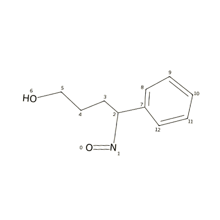 O=NC(CCCO)c1ccccc1